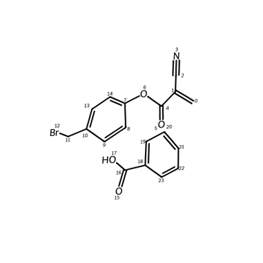 C=C(C#N)C(=O)Oc1ccc(CBr)cc1.O=C(O)c1ccccc1